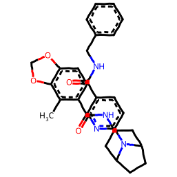 Cc1c(C(=O)NC2CC3CCC(C2)N3c2ccc(C(=O)NCc3ccccc3)cn2)ccc2c1OCO2